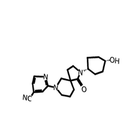 N#Cc1ccnc(N2CCCC3(CCN([C@H]4CC[C@@H](O)CC4)C3=O)C2)c1